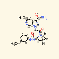 CC[C@H]1CCCC(NC(=O)[C@@H]2C[C@H]3C[C@H]3N2C(=O)Cn2nc(C(N)=O)c3cc(C)ncc32)C1